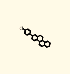 Clc1ccc(-c2ccc3c(c2)CCc2c-3ccc3ccccc23)cc1